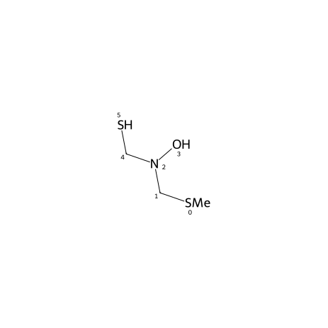 CSCN(O)CS